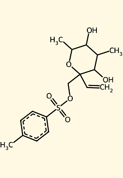 C=CC1(COS(=O)(=O)c2ccc(C)cc2)OC(C)C(O)C(C)C1O